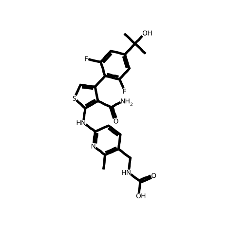 Cc1nc(Nc2scc(-c3c(F)cc(C(C)(C)O)cc3F)c2C(N)=O)ccc1CNC(=O)O